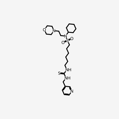 O=S(=O)(CCCCCCNC(=S)NCc1cccnc1)N(CCN1CCOCC1)C1CCCCC1